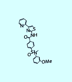 COc1cccc(N(C)[S+]([O-])c2ccc(C(=O)Nc3nc(-c4ccccn4)cs3)cc2)c1